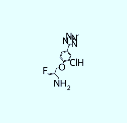 Cl.Cn1nnc(-c2ccc(OC/C(=C\F)CN)cc2)n1